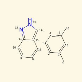 Cc1cccc(C)c1.c1ccc2n[nH]cc2c1